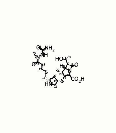 C[C@@H](O)[C@H]1C(=O)N2C(C(=O)O)=C(S[C@@H]3CN[C@H](CSCCC(=O)N(C)NC(N)=O)C3)[C@H](C)[C@H]12